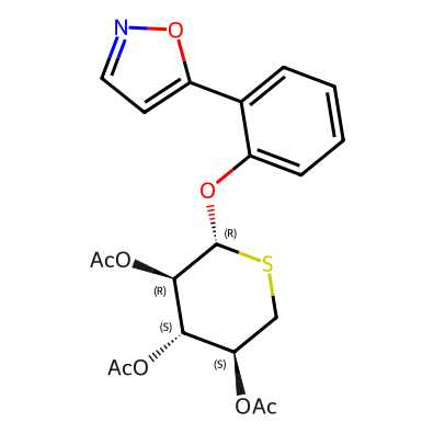 CC(=O)O[C@@H]1[C@@H](OC(C)=O)[C@H](OC(C)=O)CS[C@H]1Oc1ccccc1-c1ccno1